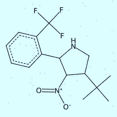 CC(C)(C)C1CNC(c2ccccc2C(F)(F)F)C1[N+](=O)[O-]